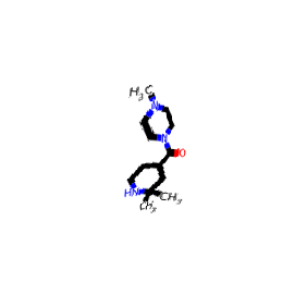 CN1CCN(C(=O)C2CCNC(C)(C)C2)CC1